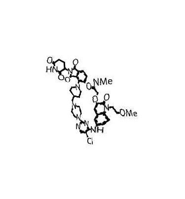 CNC(=O)COc1cc2cc(Nc3nc(N4CCN(CC5CCN(c6cccc7c6C(=O)N(C6CCC(=O)NC6=O)C7=O)CC5)CC4)ncc3Cl)ccc2n(CCOC)c1=O